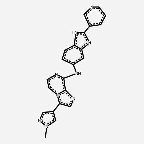 Cn1cc(-c2cnc3c(Nc4ccc5[nH]c(-c6cccnc6)nc5c4)nccn23)cn1